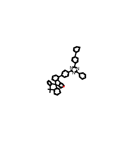 CC1(C)c2ccccc2C2(c3ccccc3-c3c(-c4ccc(-c5nc(-c6ccccc6)nc(-c6ccc(-c7ccccc7)cc6)n5)cc4)cccc32)c2ccccc21